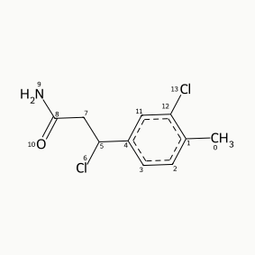 Cc1ccc(C(Cl)CC(N)=O)cc1Cl